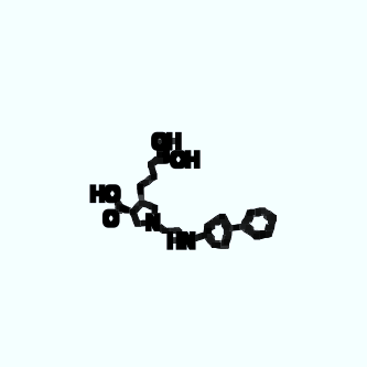 O=C(O)[C@@H]1CN(CCNc2ccc(-c3ccccc3)cc2)C[C@@H]1CCCB(O)O